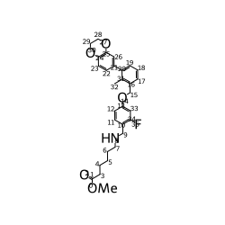 COC(=O)CCCCCNCc1ccc(OCc2cccc(-c3ccc4c(c3)OCCO4)c2C)cc1F